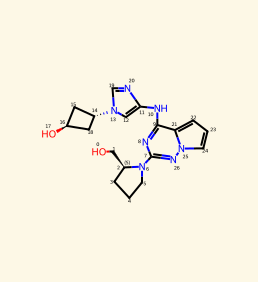 OC[C@@H]1CCCN1c1nc(Nc2cn([C@H]3C[C@H](O)C3)cn2)c2cccn2n1